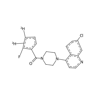 [2H]c1ccc(C(=O)N2CCN(c3ccnc4cc(Cl)ccc34)CC2)c(F)c1[2H]